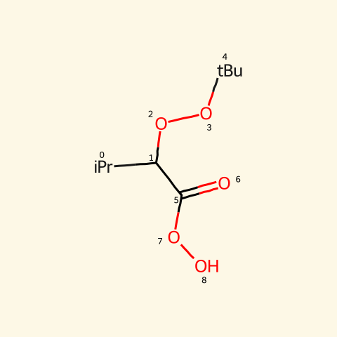 CC(C)C(OOC(C)(C)C)C(=O)OO